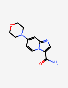 NC(=O)c1cnc2cc(N3CCOCC3)ccn12